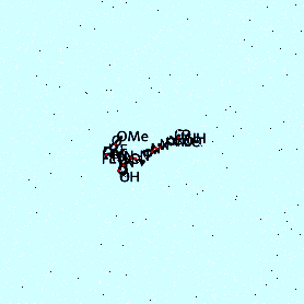 CCc1c(F)ccc2cc(OCOC)cc(-c3ncc4c(N5CCC[C@@](C)(O)C5)nc(OCC5(CN6CCC7(CC6)CN(C6CN(c8ccc9c(c8)CN(C8CCC(=O)NC8=O)C9=O)C6)C7)CC5)nc4c3F)c12